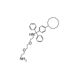 NCCOCCOCCNC(c1ccccc1)(c1ccccc1)c1ccc(C2CCCCCCCCC2)cc1